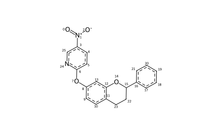 O=[N+]([O-])c1ccc(Oc2ccc3c(c2)OC(c2ccccc2)CC3)nc1